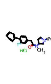 CC(C)N1CCC(N(C)C(=O)Cc2ccc(-c3ccccc3)c(F)c2)C1.Cl